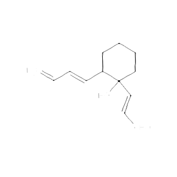 C=CC=CC1CCCCC1(O)C=CC=O